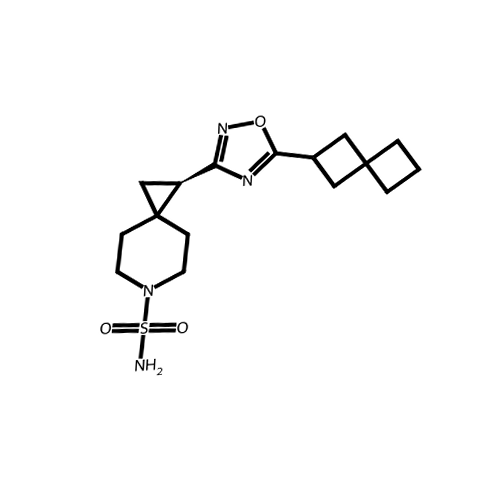 NS(=O)(=O)N1CCC2(CC1)C[C@H]2c1noc(C2CC3(CCC3)C2)n1